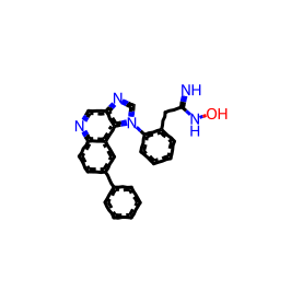 N=C(Cc1ccccc1-n1cnc2cnc3ccc(-c4ccccc4)cc3c21)NO